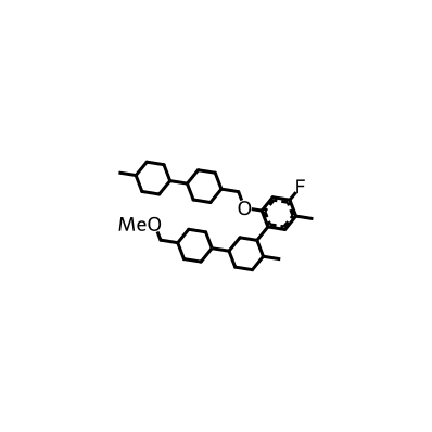 COCC1CCC(C2CCC(C)C(c3cc(C)c(F)cc3OCC3CCC(C4CCC(C)CC4)CC3)C2)CC1